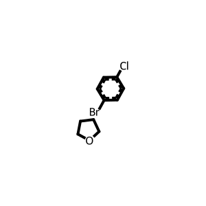 C1CCOC1.Clc1ccc(Br)cc1